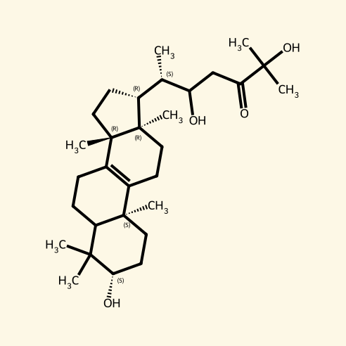 C[C@H](C(O)CC(=O)C(C)(C)O)[C@H]1CC[C@@]2(C)C3=C(CC[C@]12C)[C@@]1(C)CC[C@H](O)C(C)(C)C1CC3